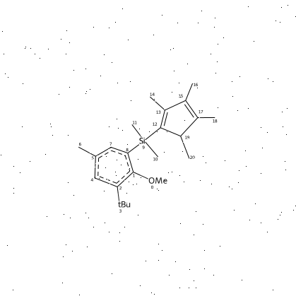 COc1c(C(C)(C)C)cc(C)cc1[Si](C)(C)C1=C(C)C(C)=C(C)C1C